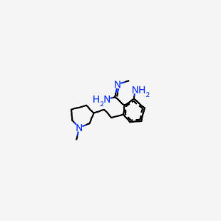 C/N=C(/N)c1c(N)cccc1CCC1CCCN(C)C1